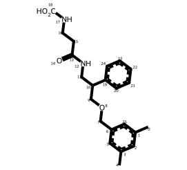 Cc1cc(C)cc(COCC(CNC(=O)CCNC(=O)O)c2ccccc2)c1